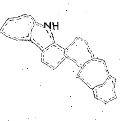 c1ccc2cc3c(ccc4c3ccc3c5ccccc5[nH]c34)cc2c1